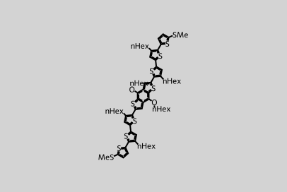 CCCCCCOc1c2cc(-c3sc(-c4cc(CCCCCC)c(-c5ccc(SC)s5)s4)cc3CCCCCC)sc2c(OCCCCCC)c2cc(-c3sc(-c4cc(CCCCCC)c(-c5ccc(SC)s5)s4)cc3CCCCCC)sc12